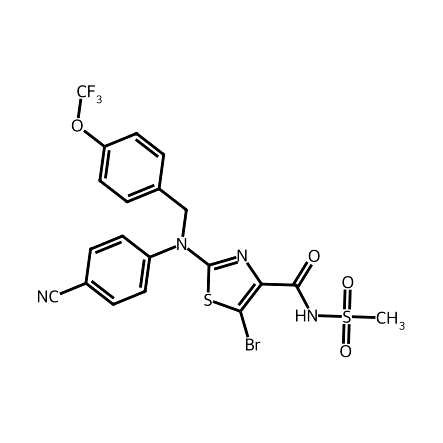 CS(=O)(=O)NC(=O)c1nc(N(Cc2ccc(OC(F)(F)F)cc2)c2ccc(C#N)cc2)sc1Br